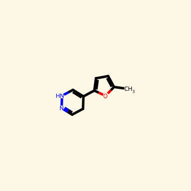 Cc1ccc(C2=CNN=CC2)o1